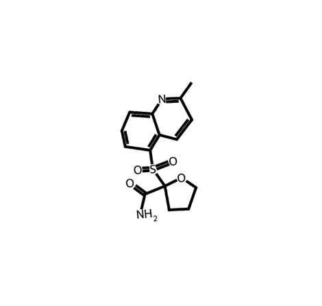 Cc1ccc2c(S(=O)(=O)C3(C(N)=O)CCCO3)cccc2n1